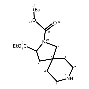 CCOC(=O)C1CC2(CCNCC2)CN1C(=O)OC(C)(C)C